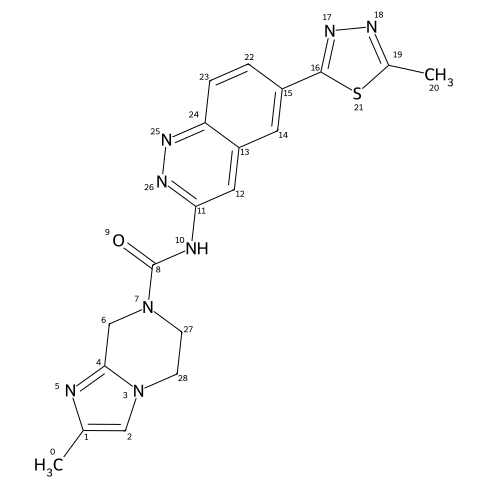 Cc1cn2c(n1)CN(C(=O)Nc1cc3cc(-c4nnc(C)s4)ccc3nn1)CC2